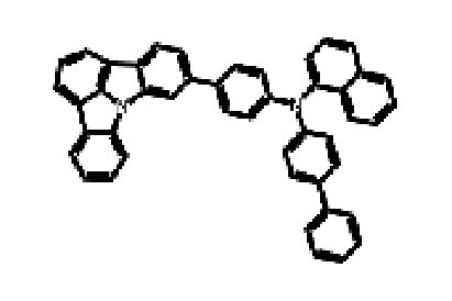 c1ccc(-c2ccc(N(c3ccc(-c4ccc5c6cccc7c8ccccc8n(c5c4)c76)cc3)c3cccc4ccccc34)cc2)cc1